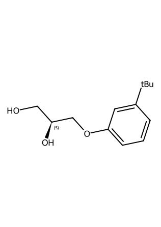 CC(C)(C)c1cccc(OC[C@@H](O)CO)c1